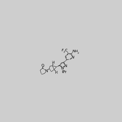 CC(C)n1nc(-c2cnc(N)c(C(F)(F)F)c2)cc1[C@H]1[C@@H]2C[C@@H](N3CCCC3=O)C[C@@H]21